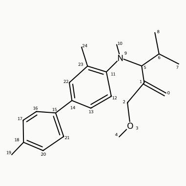 C=C(COC)C(C(C)C)N(C)c1ccc(-c2ccc(C)cc2)cc1C